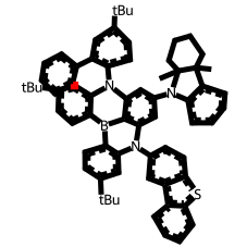 CC(C)(C)c1ccc(N2c3cc(C(C)(C)C)ccc3B3c4ccc(C(C)(C)C)cc4N(c4ccc5sc6ccccc6c5c4)c4cc(N5c6ccccc6C6(C)CCCCC56C)cc2c43)c(-c2ccccc2)c1